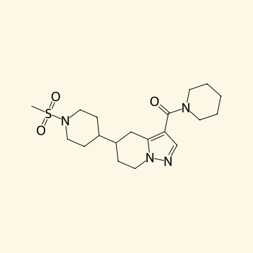 CS(=O)(=O)N1CCC(C2CCn3ncc(C(=O)N4CCCCC4)c3C2)CC1